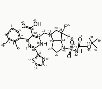 Cc1c(F)cccc1C1N=C(c2nccs2)NC(CN2CC(F)(F)C3C2CCN3S(=O)(=O)NC(=O)OC(C)(C)C)=C1C(=O)O